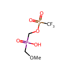 COCP(=O)(O)COS(=O)(=O)C(F)(F)F